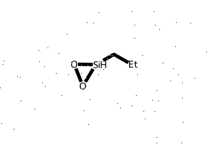 CCC[SiH]1OO1